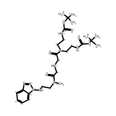 CN(CCNn1nnc2ccccc21)C(=O)CNCC(=O)N(CCNC(=O)OC(C)(C)C)CCNC(=O)OC(C)(C)C